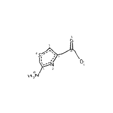 Nc1nc(C([O])=O)cs1